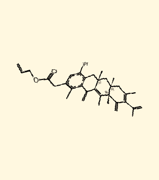 C=CCOC(=O)Cc1cc(C(C)C)c2c(c1C)C(=C)C1=C(C)[C@@]3(C)C(=C)C(C(=C)C)=C(C)C[C@@]3(C)C[C@@]1(C)C2